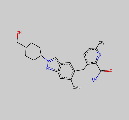 COc1cc2nn(C3CCC(CO)CC3)cc2cc1Cc1ccc(C(F)(F)F)nc1C(N)=O